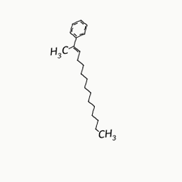 CCCCCCCCCCCCC=C(C)c1ccccc1